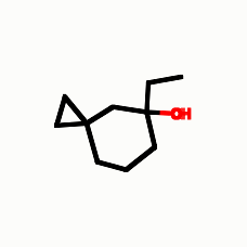 CCC1(O)CCCC2(CC2)C1